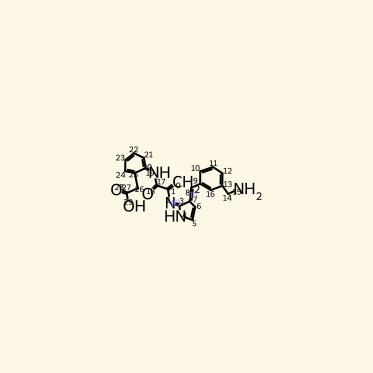 C=C(/N=C1/NC=C/C1=C\c1cccc(CN)c1)C(=O)Nc1ccccc1CC(=O)O